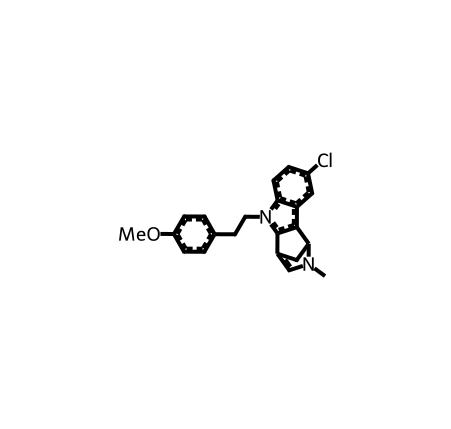 COc1ccc(CCn2c3c(c4cc(Cl)ccc42)C2CC3=CN2C)cc1